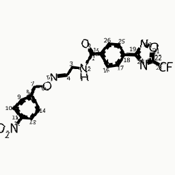 O=C(NCC=NOCc1ccc([N+](=O)[O-])cc1)c1ccc(-c2noc(C(F)(F)F)n2)cc1